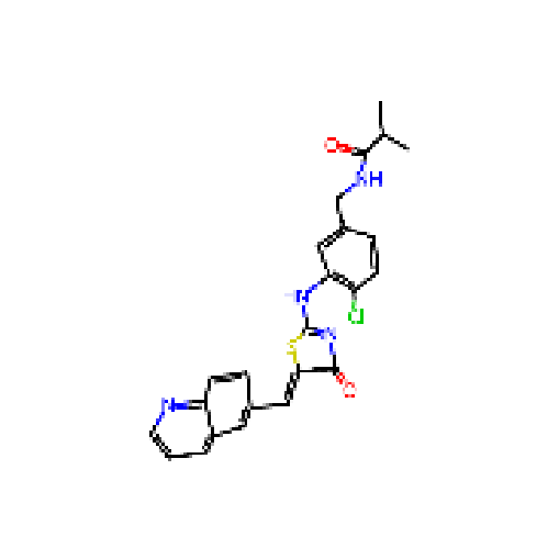 CC(C)C(=O)NCc1ccc(Cl)c(NC2=NC(=O)/C(=C/c3ccc4ncccc4c3)S2)c1